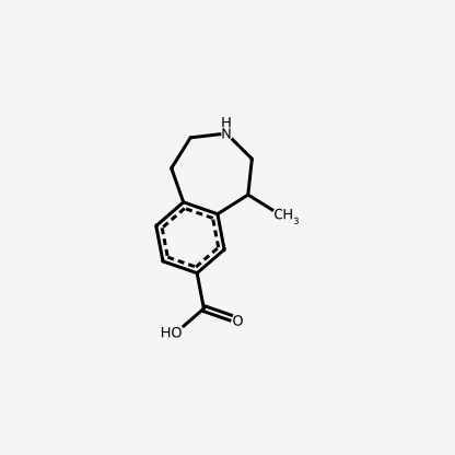 CC1CNCCc2ccc(C(=O)O)cc21